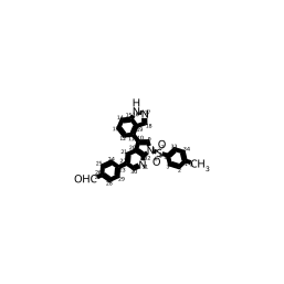 Cc1ccc(S(=O)(=O)n2cc(-c3cccc4[nH]ncc34)c3cc(-c4ccc(C=O)cc4)cnc32)cc1